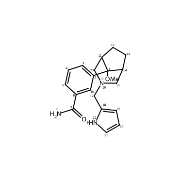 COC1(c2cccc(C(N)=O)c2)C2CCC1CN(Cc1ccc[nH]1)C2